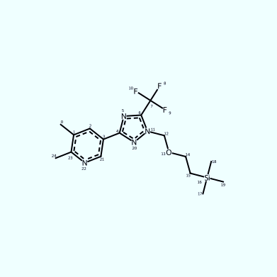 Cc1cc(-c2nc(C(F)(F)F)n(COCC[Si](C)(C)C)n2)cnc1C